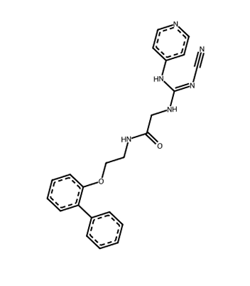 N#C/N=C(/NCC(=O)NCCOc1ccccc1-c1ccccc1)Nc1ccncc1